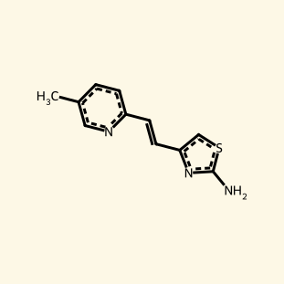 Cc1ccc(C=Cc2csc(N)n2)nc1